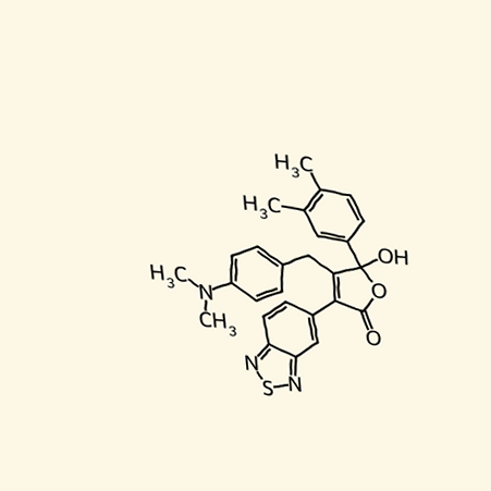 Cc1ccc(C2(O)OC(=O)C(c3ccc4nsnc4c3)=C2Cc2ccc(N(C)C)cc2)cc1C